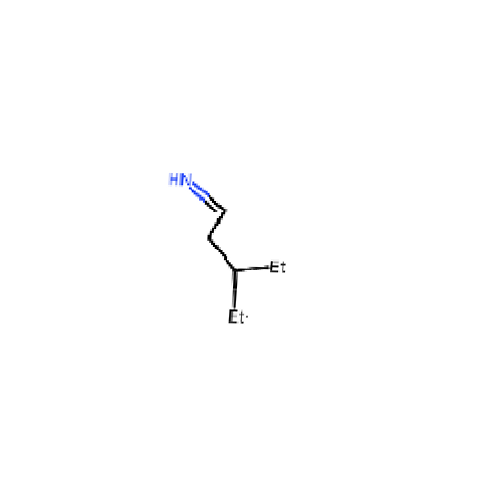 C[CH]C(CC)CC=N